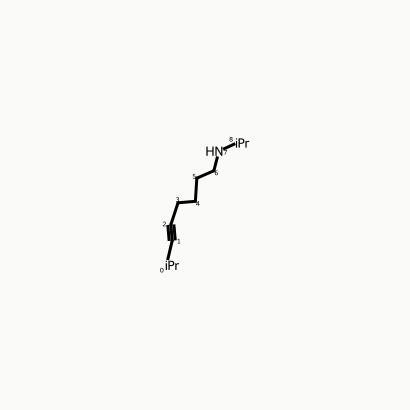 CC(C)C#CCCCCNC(C)C